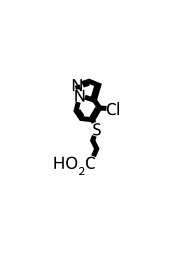 O=C(O)CCSc1ccn2nccc2c1Cl